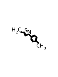 C=Cc1cc(-c2ccc(CC)cc2)ns1